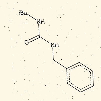 [CH2]CC(C)NC(=O)NCc1ccccc1